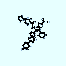 O=C(O)c1cc2c(s1)c(C1CCCCC1)c(-c1ccc3nc(-c4ccc(F)cc4)ccc3c1)n2CC(=O)N1CCC(N2CCCC2)CC1